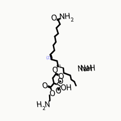 CCCCCC[C@H](C/C=C\CCCCCCCC(N)=O)OC(=O)CC(C(=O)OCCN)S(=O)(=O)O.[NaH].[NaH]